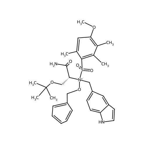 COc1cc(C)c(S(=O)(=O)[N+](Cc2ccc3[nH]ccc3c2)(OCc2ccccc2)[C@H](COC(C)(C)C)C(N)=O)c(C)c1C